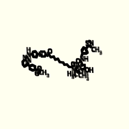 Cc1ncsc1-c1ccc(CNC(=O)C2CC(O)CN2C(=O)C(NC(=O)CCCCCCCCCC(=O)N2CCN(c3ccc(Nc4nc5cccc(-c6ccc(S(C)(=O)=O)cc6)n5n4)cc3)CC2)C(C)(C)C)cc1